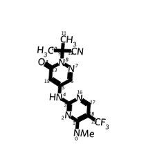 CNc1nc(Nc2cnn(C(C)(C)C#N)c(=O)c2)ncc1C(F)(F)F